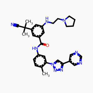 Cc1ccc(NC(=O)c2cc(NCCN3CCCC3)cc(C(C)(C)C#N)c2)cc1-n1cc(-c2cncnc2)nn1